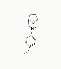 CCc1ccc(N2CC3CCC(C2)O3)cc1